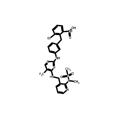 CCc1cccc([PH](=O)O)c1Cc1cccc(Nc2ncc(C(F)(F)F)c(NCc3cccnc3N(C)S(C)(=O)=O)n2)c1